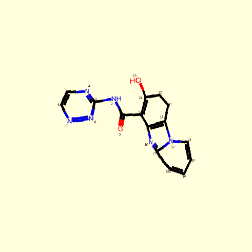 O=C(Nc1nccnn1)C1=C(O)CCc2c1nc1ccccn21